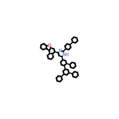 C1=C(c2cc3oc4ccccc4c3c3ccccc23)N=C(c2ccc(-c3ccccc3)cc2)NC1c1ccc(-c2cc(-c3ccccc3)cc(-c3ccccc3)c2)c(-c2ccccc2)c1